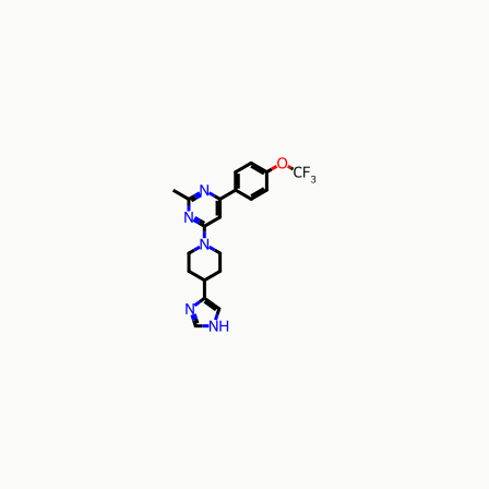 Cc1nc(-c2ccc(OC(F)(F)F)cc2)cc(N2CCC(c3c[nH]cn3)CC2)n1